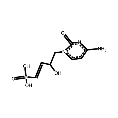 Nc1ccn(CC(O)C=CP(=O)(O)O)c(=O)n1